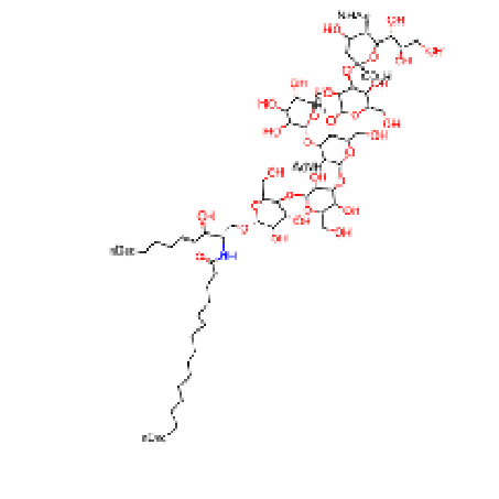 CCCCCCCCCCCCC/C=C/[C@@H](O)[C@H](CO[C@@H]1OC(CO)[C@@H](O[C@@H]2OC(CO)[C@H](O)[C@H](O[C@@H]3OC(CO)[C@@H](O[C@@H]4OC(CO)[C@H](O)[C@H](O[C@]5(C(=O)O)CC(O)[C@@H](NC(C)=O)C([C@H](O)[C@H](O)CO)O5)C4O)[C@H](O[C@H]4OC(C)[C@@H](O)C(O)[C@@H]4O)C3NC(C)=O)C2O)[C@H](O)C1O)NC(=O)CCCCCCCCCCCCCCCCCCCCCCC